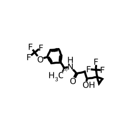 C[C@H](NC(=O)CC(O)C1(C(F)(F)F)CC1)c1cccc(OC(F)(F)F)c1